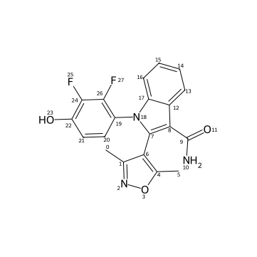 Cc1noc(C)c1-c1c(C(N)=O)c2ccccc2n1-c1ccc(O)c(F)c1F